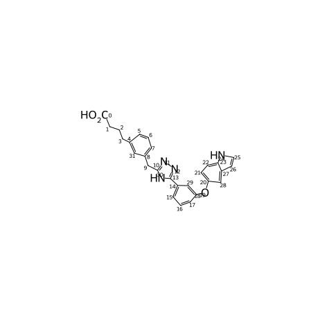 O=C(O)CCCc1cccc(Cc2nnc(-c3cccc(Oc4ccc5[nH]ccc5c4)c3)[nH]2)c1